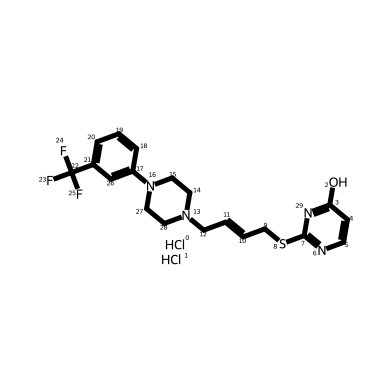 Cl.Cl.Oc1ccnc(SC/C=C/CN2CCN(c3cccc(C(F)(F)F)c3)CC2)n1